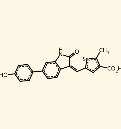 Cc1[se]c(/C=C2\C(=O)Nc3cc(-c4ccc(O)cc4)ccc32)cc1C(=O)O